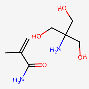 C=C(C)C(N)=O.NC(CO)(CO)CO